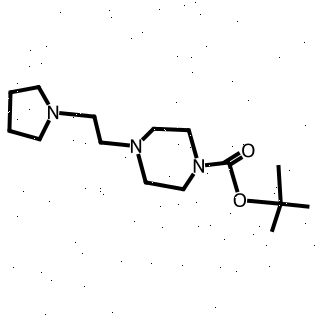 CC(C)(C)OC(=O)N1CCN(CCN2CCCC2)CC1